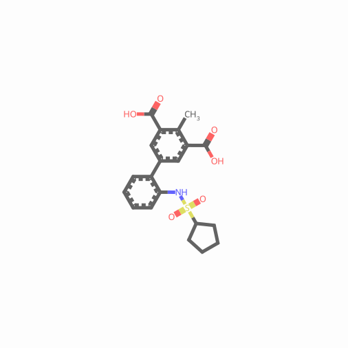 Cc1c(C(=O)O)cc(-c2ccccc2NS(=O)(=O)C2CCCC2)cc1C(=O)O